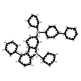 c1ccc(-c2ccc(N(c3ccccc3)c3ccc4c5c(-c6ccccc6)cccc5n(-c5ccccc5)c4c3)cc2)cc1